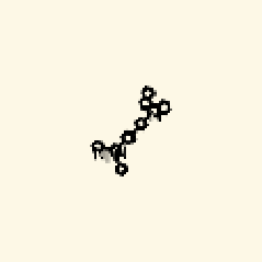 c1ccc(-c2nc(-c3ccc(-c4ccc(-c5nc6ccccc6c6c5ccc5ccccc56)cc4)cc3)cc(-c3ccccn3)n2)cc1